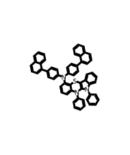 c1ccc(N2c3cccc(N(c4ccc(-c5cccc6ccccc56)cc4)c4ccc(-c5cccc6ccccc56)cc4)c3Sc3c2n(-c2ccccc2)c2ccccc32)cc1